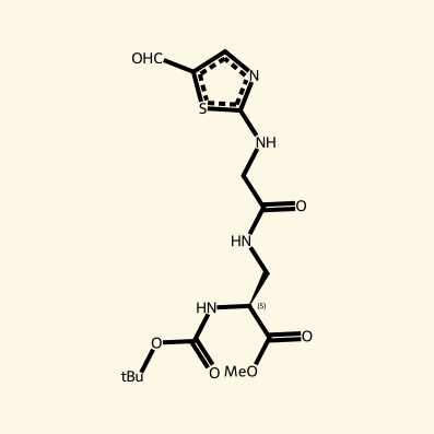 COC(=O)[C@H](CNC(=O)CNc1ncc(C=O)s1)NC(=O)OC(C)(C)C